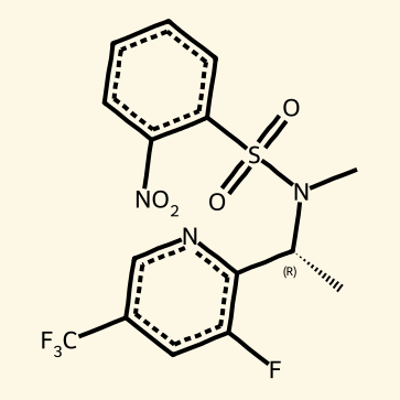 C[C@H](c1ncc(C(F)(F)F)cc1F)N(C)S(=O)(=O)c1ccccc1[N+](=O)[O-]